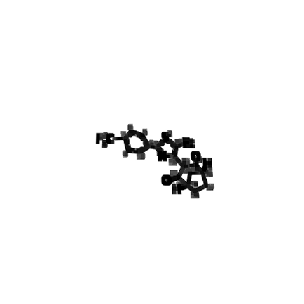 CCc1sc(-c2ccc(C(F)(F)F)cc2)nc1C1C(=O)[C@@H]2CC[C@@H](C2)C1=O